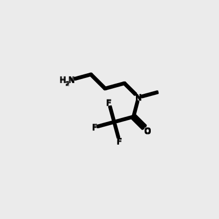 CN(CCCN)C(=O)C(F)(F)F